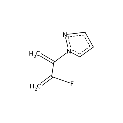 C=C(F)C(=C)n1cccn1